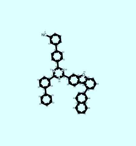 N#Cc1cccc(-c2ccc(-c3nc(-c4cccc(-c5ccccc5)c4)nc(-c4ccc5c(c4)oc4cccc(-c6ccc7ccccc7c6)c45)n3)cc2)c1